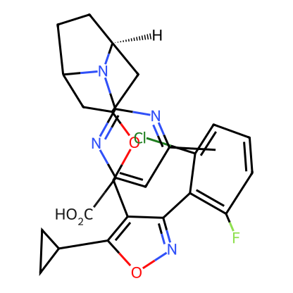 Cc1cc(C(=O)O)nc(N2C3CC[C@H]2CC(OCc2c(-c4c(F)cccc4Cl)noc2C2CC2)C3)n1